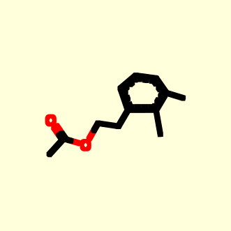 CC(=O)OCCc1cccc(C)c1C